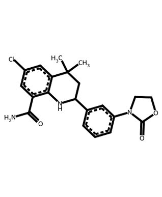 CC1(C)CC(c2cccc(N3CCOC3=O)c2)Nc2c(C(N)=O)cc(Cl)cc21